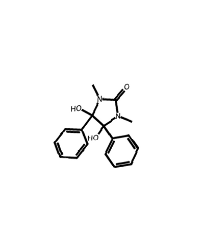 CN1C(=O)N(C)C(O)(c2ccccc2)C1(O)c1ccccc1